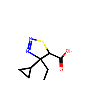 CCC1(C2CC2)N=NSC1C(=O)O